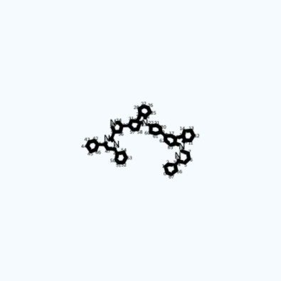 c1ccc(-c2cccc(-n3c4ccccc4c4cc(-c5ccc(-n6c7ccccc7c7cc(-c8cncc(-c9nc(-c%10ccccc%10)cc(-c%10ccccc%10)n9)c8)ccc76)cc5)ccc43)n2)cc1